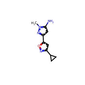 Cn1nc(-c2cc(C3CC3)no2)cc1N